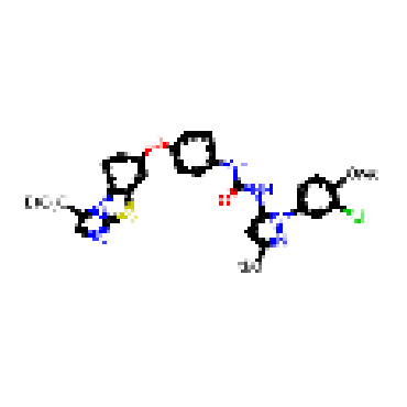 CCOC(=O)c1cnc2sc3cc(Oc4ccc(NC(=O)Nc5cc(C(C)(C)C)nn5-c5ccc(OC)c(Cl)c5)cc4)ccc3n12